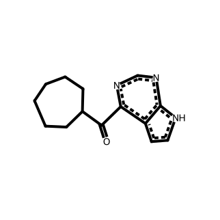 O=C(c1ncnc2[nH]ccc12)C1CCCCCC1